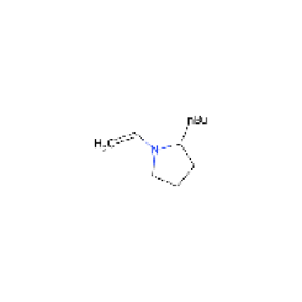 C=CN1CCCC1CCCC